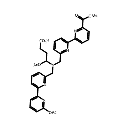 COC(=O)c1cccc(-c2cccc(CN(Cc3cccc(-c4cccc(OC(C)=O)n4)n3)C(CCC(=O)O)OC(C)=O)n2)n1